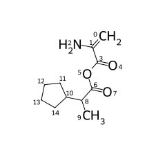 C=C(N)C(=O)OC(=O)C(C)C1CCCC1